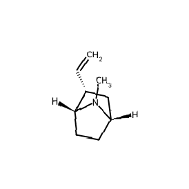 C=C[C@@H]1C[C@@H]2CC[C@H]1N2C